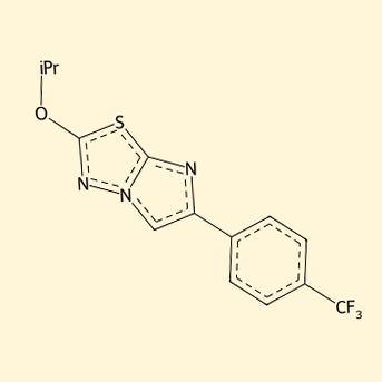 CC(C)Oc1nn2cc(-c3ccc(C(F)(F)F)cc3)nc2s1